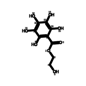 O=C(OCCO)c1c(O)c(O)c(O)c(O)c1O